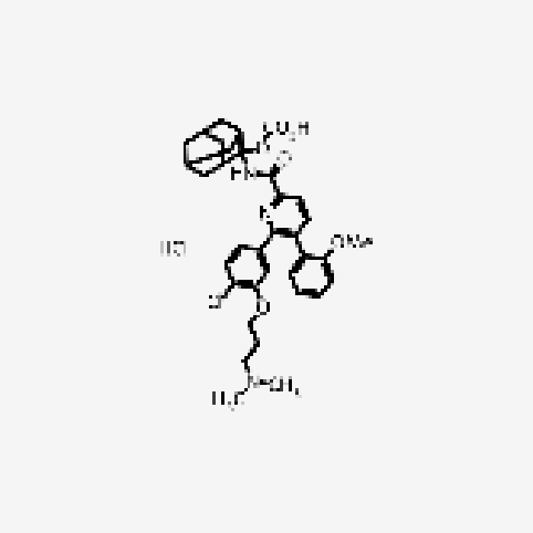 COc1ccccc1-c1ccc(C(=O)NC2(OC(=O)O)C3CC4CC(C3)CC2C4)nc1-c1ccc(Cl)c(OCCCN(C)C)c1.Cl